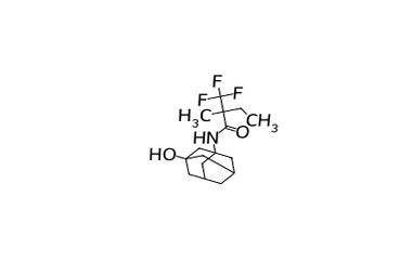 CCC(C)(C(=O)NC12CC3CC(CC(O)(C3)C1)C2)C(F)(F)F